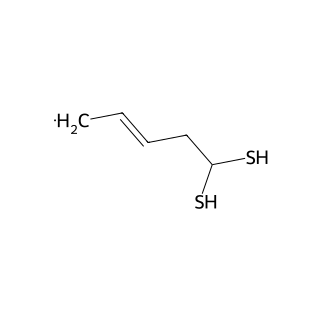 [CH2]C=CCC(S)S